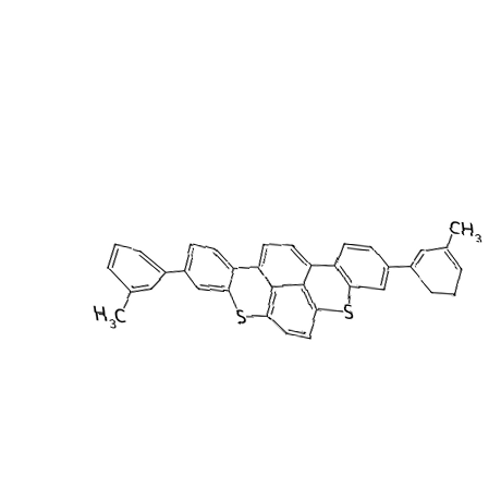 CC1=CCCC(c2ccc3c(c2)Sc2ccc4c5c(ccc-3c25)-c2ccc(-c3cccc(C)c3)cc2S4)=C1